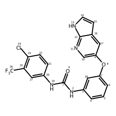 O=C(Nc1cccc(Oc2cnc3[nH]ccc3c2)c1)Nc1ccc(Cl)c(C(F)(F)F)c1